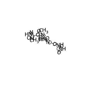 COc1cc(-c2cn(C)c(=O)c3[nH]ncc23)cc(OC)c1CN1CC[C@H](NC(=O)CN2CCC(c3ccc(NC4CCC(=O)NC4=O)cc3)CC2)C1